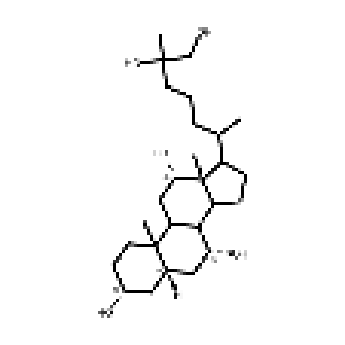 CC(CCCC(C)(O)CO)C1CCC2C3C(C[C@H](O)C12C)C1(C)CC[C@@H](O)C[C@H]1C[C@H]3O